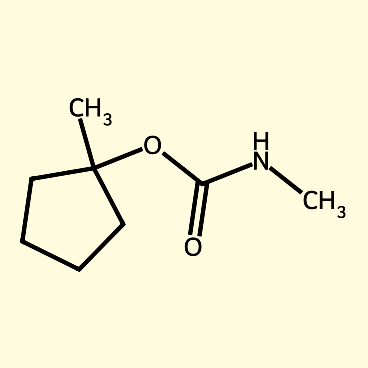 CNC(=O)OC1(C)CCCC1